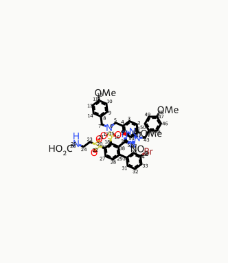 COc1ccc(CN(Cc2ccc(OC)cc2)S(=O)(=O)c2c(S(=O)(=O)CCNC(=O)O)ccc(-c3cccc(Br)c3[N+](=O)[O-])c2-c2nnn(Cc3ccc(OC)cc3)n2)cc1